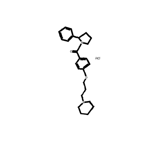 Cl.O=C(c1ccc(OCCCN2CCCCC2)cc1)N1CCCC1c1ccccc1